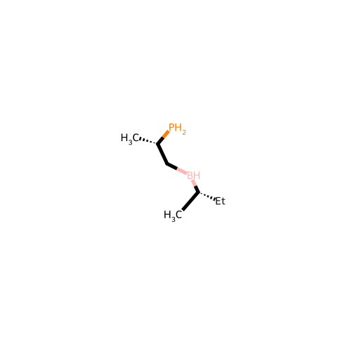 CC[C@H](C)BC[C@H](C)P